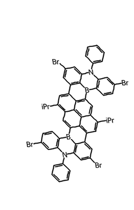 CC(C)c1cc2c3c(cc4c(C(C)C)cc5c6c(cc1c3c46)B1c3ccc(Br)cc3N(c3ccccc3)c3cc(Br)cc-5c31)B1c3ccc(Br)cc3N(c3ccccc3)c3cc(Br)cc-2c31